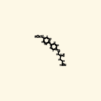 CCCCCCCCc1cnc(-c2ccc(OCC(F)CCC(C)CC)cc2)nc1